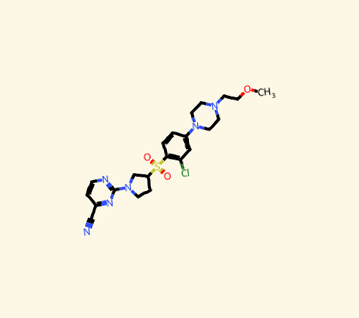 COCCN1CCN(c2ccc(S(=O)(=O)C3CCN(c4nccc(C#N)n4)C3)c(Cl)c2)CC1